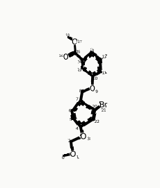 COCOc1ccc(COc2cccc(C(=O)OC)c2)c(Br)c1